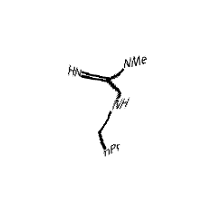 CCCCNC(=N)NC